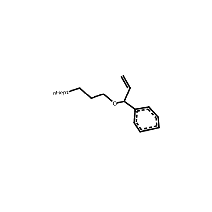 C=CC(OCCCCCCCCCC)c1ccccc1